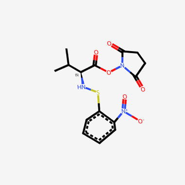 CC(C)[C@H](NSc1ccccc1[N+](=O)[O-])C(=O)ON1C(=O)CCC1=O